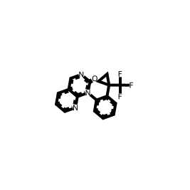 O=c1ncc2cccnc2n1-c1ccccc1C1(C(F)(F)F)CC1